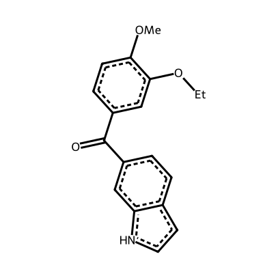 CCOc1cc(C(=O)c2ccc3cc[nH]c3c2)ccc1OC